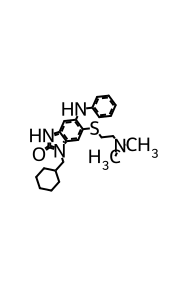 CN(C)CCSc1cc2c(cc1Nc1ccccc1)[nH]c(=O)n2CC1CCCCC1